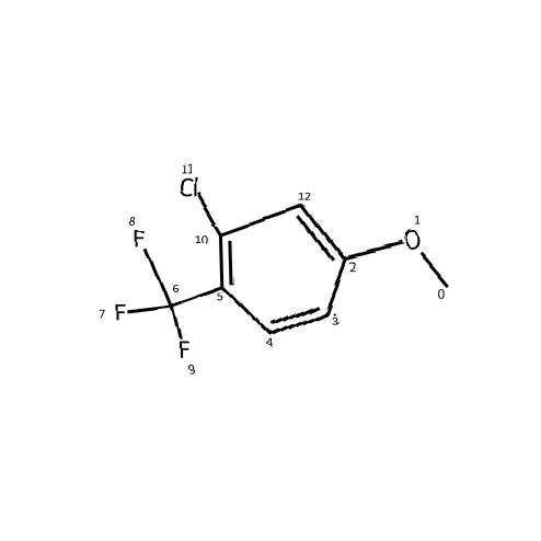 COc1[c]cc(C(F)(F)F)c(Cl)c1